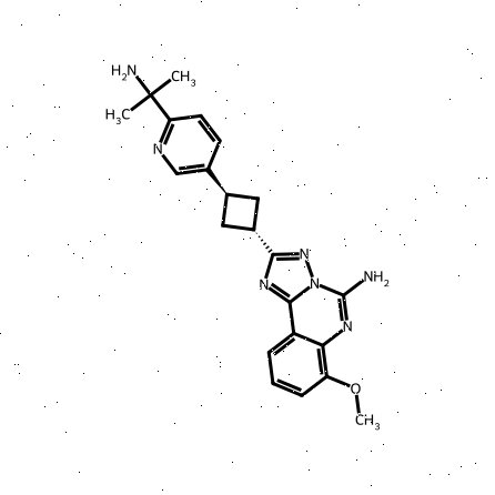 COc1cccc2c1nc(N)n1nc([C@H]3C[C@H](c4ccc(C(C)(C)N)nc4)C3)nc21